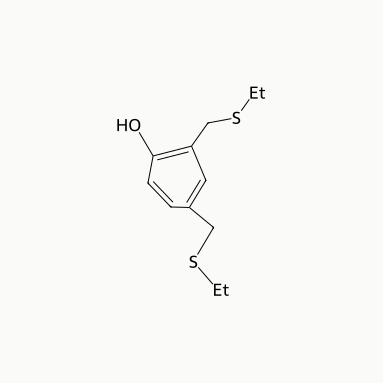 CCSCc1ccc(O)c(CSCC)c1